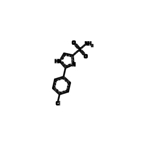 NS(=O)(=O)c1c[nH]c(-c2ccc(Cl)cc2)n1